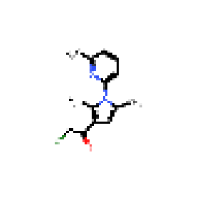 Cc1cccc(-n2c(C)cc(C(=O)CCl)c2C)n1